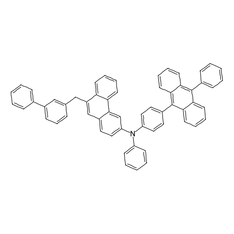 c1ccc(-c2cccc(Cc3cc4ccc(N(c5ccccc5)c5ccc(-c6c7ccccc7c(-c7ccccc7)c7ccccc67)cc5)cc4c4ccccc34)c2)cc1